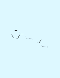 O=C(CBr)OCCOc1ccccc1